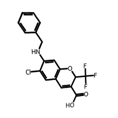 O=C(O)C1=Cc2cc(Cl)c(NCc3ccccc3)cc2OC1C(F)(F)F